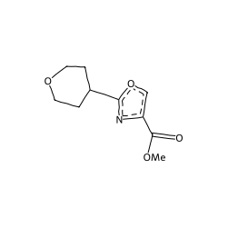 COC(=O)c1coc(C2CCOCC2)n1